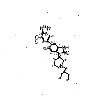 CCC(CC)CN1CCCC(n2c(=O)[nH]c3cc(-c4cc(OC)c5ncnn5c4)c(C)cc32)C1